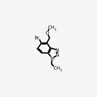 CCn1nnc2c(COC)c(Br)ccc21